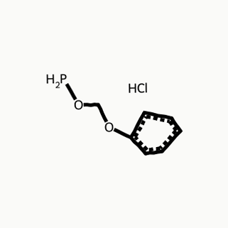 Cl.POCOc1ccccc1